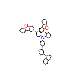 c1cc2c(oc3ccccc32)c(-c2ccccc2N(C2=CC=C(c3ccc4oc5ccccc5c4c3)CC2)c2ccc(-c3cccc(-c4cccc5ccccc45)c3)cc2)c#1